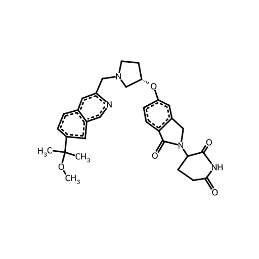 COC(C)(C)c1ccc2cc(CN3CC[C@H](Oc4ccc5c(c4)CN(C4CCC(=O)NC4=O)C5=O)C3)ncc2c1